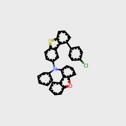 Clc1ccc(-c2cccc3sc4ccc(N(c5ccccc5)c5cccc6oc7ccccc7c56)cc4c23)cc1